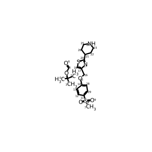 CC(C)(C)OC=O.CS(=O)(=O)c1ccc(OCc2csc(C3CCNCC3)n2)cc1